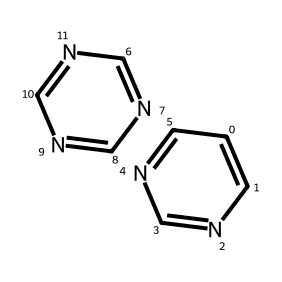 c1cncnc1.c1ncncn1